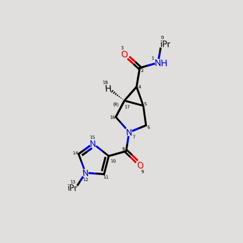 CC(C)NC(=O)C1C2CN(C(=O)c3cn(C(C)C)cn3)C[C@H]21